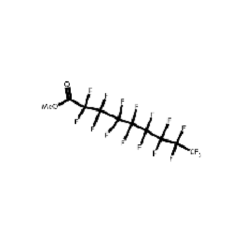 COC(=O)C(F)(F)C(F)(F)C(F)(F)C(F)(F)C(F)(F)C(F)(F)C(F)(F)C(F)(F)F